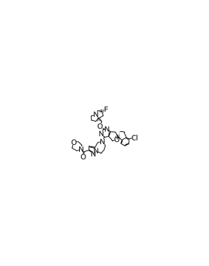 O=C(c1cc2n(n1)CCCN(c1nc(OC[C@@]34CCCN3C[C@H](F)C4)nc3c1CO[C@@]1(CCc4c(Cl)cccc41)C3)C2)N1CCOCC1